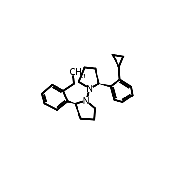 CCc1ccccc1[C@@H]1CCCN1N1CCC[C@H]1c1ccccc1C1CC1